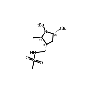 C[C@@H]1[C@@H](CNS(C)(=O)=O)C[C@@H](C(C)(C)C)N1C(C)(C)C